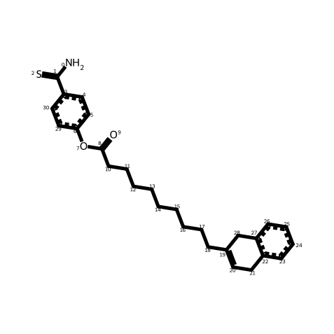 NC(=S)c1ccc(OC(=O)CCCCCCCCCC2=CCc3ccccc3C2)cc1